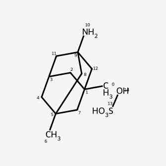 CC12CC3CC(C)(C1)CC(N)(C3)C2.O=S(=O)(O)O